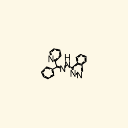 c1ccc(C(=NNc2nncc3ccccc23)c2ccccn2)cc1